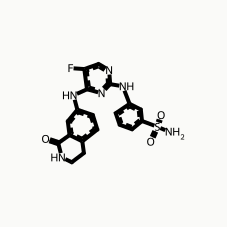 NS(=O)(=O)c1cccc(Nc2ncc(F)c(Nc3ccc4c(c3)C(=O)NCC4)n2)c1